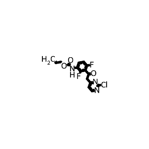 C=CCOC(=O)Nc1ccc(F)c(C(=O)Cc2ccnc(Cl)n2)c1F